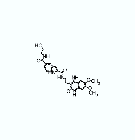 COc1cc2[nH]c(=O)n(CCNC(=O)c3cc4cc(C(=O)NCCO)ccc4[nH]3)c(=N)c2cc1OC